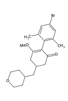 COC1=C(c2c(C)cc(Br)cc2C)C(=O)CC(CC2CCOCC2)C1